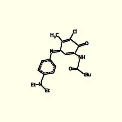 CCN(CC)c1ccc(N=C2C=C(NC(=O)C(C)(C)C)C(=O)C(Cl)=C2C)cc1